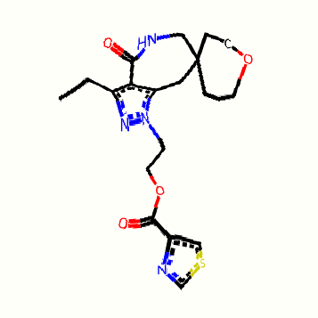 CCc1nn(CCOC(=O)c2cscn2)c2c1C(=O)NCC1(CCOCC1)C2